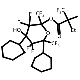 CCC(C)(C(=O)OC1(C(F)(F)F)OC(C2CCCCC2)(C(F)(F)F)C(F)(F)C(O)(C2CCCCC2)C1(F)F)C(F)(F)F